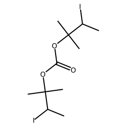 CC(I)C(C)(C)OC(=O)OC(C)(C)C(C)I